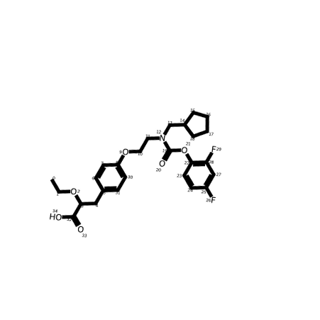 CCOC(Cc1ccc(OCCN(CC2CCCC2)C(=O)Oc2ccc(F)cc2F)cc1)C(=O)O